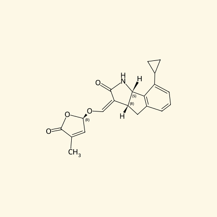 CC1=C[C@H](OC=C2C(=O)N[C@@H]3c4c(cccc4C4CC4)C[C@H]23)OC1=O